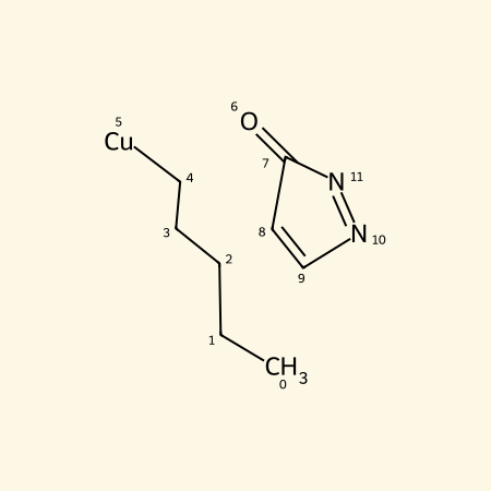 CCCC[CH2][Cu].O=C1C=CN=N1